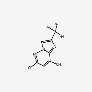 [2H]C([2H])([2H])c1cn2nc(Cl)cc(C)c2n1